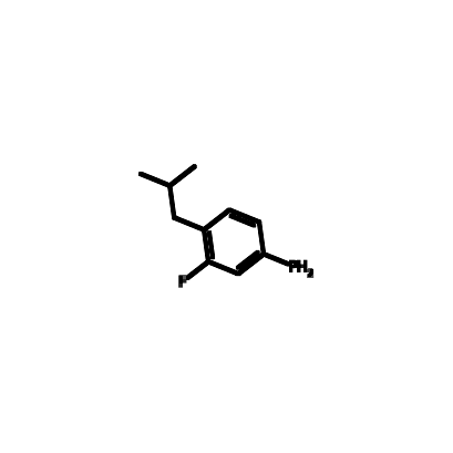 CC(C)Cc1ccc(P)cc1F